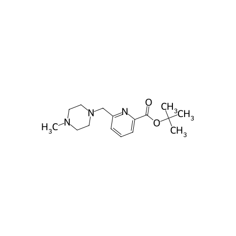 CN1CCN(Cc2cccc(C(=O)OC(C)(C)C)n2)CC1